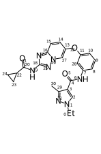 CCn1cc(C(=O)Nc2cccc(Oc3ccc4nc(NC(=O)C5CC5)nn4c3)c2)c(C)n1